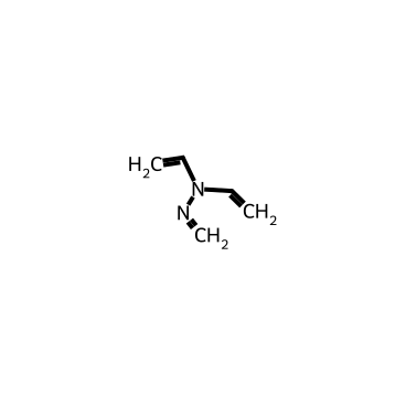 C=CN(C=C)N=C